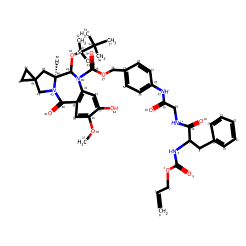 C=CCOC(=O)NC(Cc1ccccc1)C(=O)NCC(=O)Nc1ccc(COC(=O)N2c3cc(O)c(OC)cc3C(=O)N3CC4(CC4)C[C@H]3C2O[Si](C)(C)C(C)(C)C)cc1